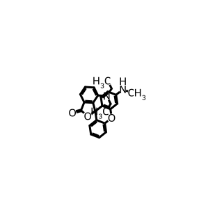 CCN(CC)c1cccc2c1C1(OC2=O)c2ccccc2Oc2cc(NC)ccc21